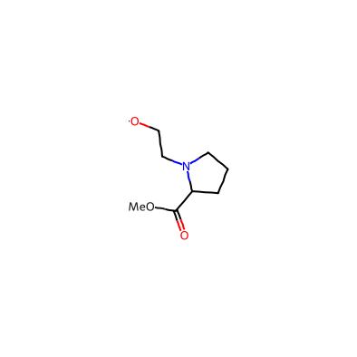 COC(=O)C1CCCN1CC[O]